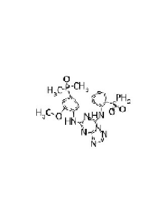 COc1cc(P(C)(C)=O)ccc1Nc1nc(Nc2ccccc2S(=O)(=O)P)n2ncnc2n1